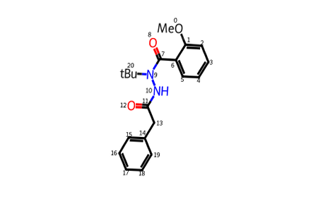 COc1ccccc1C(=O)N(NC(=O)Cc1ccccc1)C(C)(C)C